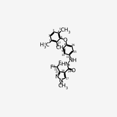 Cc1ccc(C)c(Oc2ccc(NNC(=O)c3cn(C)nc3C(F)F)cc2)c1C